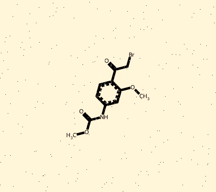 COC(=O)Nc1ccc(C(=O)CBr)c(OC)c1